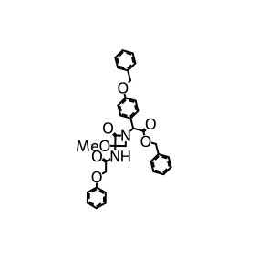 COC1(NC(=O)COc2ccccc2)CN(C(C(=O)OCc2ccccc2)c2ccc(OCc3ccccc3)cc2)C1=O